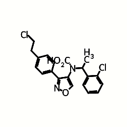 CC(c1ccccc1Cl)N(C(=O)O)c1conc1-c1ccc(CCCl)cc1